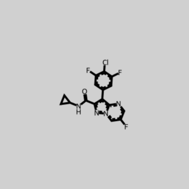 O=C(NC1CC1)c1nn2cc(F)cnc2c1-c1cc(F)c(Cl)c(F)c1